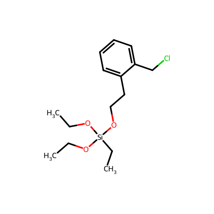 CCO[Si](CC)(OCC)OCCc1ccccc1CCl